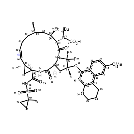 CCC(C)N(C(=O)O)[C@@H]1C(=O)N2[C@@H](C[C@@](C)(Oc3nc4c(c5cc(OC)ccc35)CCCO4)C2(F)F)C(=O)N[C@]2(C(=O)NS(=O)(=O)C3(C)CC3)C[C@H]2/C=C\CC[C@@H](C)C[C@H]1CC